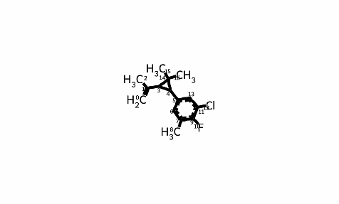 C=C(C)C1C(c2cc(C)c(F)c(Cl)c2)C1(C)C